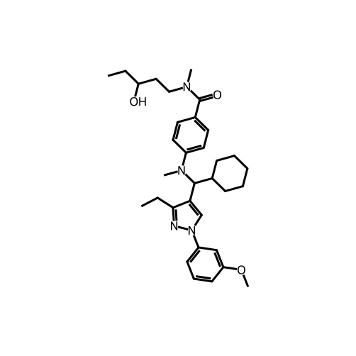 CCc1nn(-c2cccc(OC)c2)cc1C(C1CCCCC1)N(C)c1ccc(C(=O)N(C)CCC(O)CC)cc1